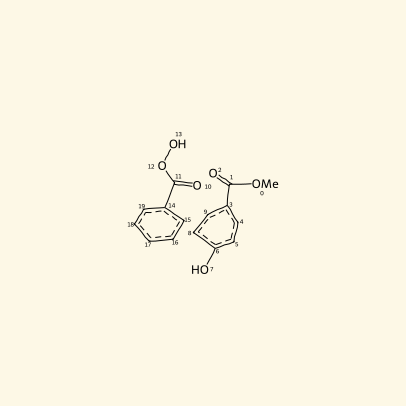 COC(=O)c1ccc(O)cc1.O=C(OO)c1ccccc1